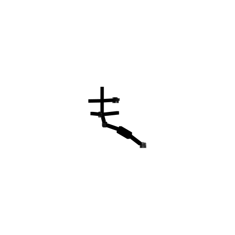 CCC#CO[Si](C)(C)C(C)(C)C(C)C